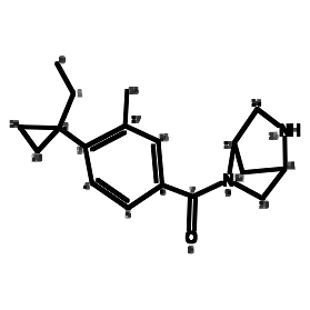 CCC1(c2ccc(C(=O)N3CC4CC3CN4)cc2C)CC1